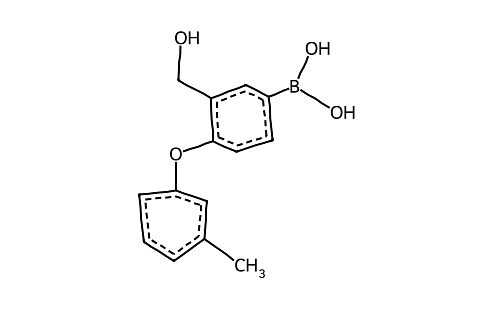 Cc1cccc(Oc2ccc(B(O)O)cc2CO)c1